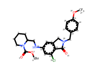 CC(C)(C)OC(=O)N1CCCCC1CNc1cc(Cl)c2c(c1)CN(Cc1ccc(OC(F)(F)F)cc1)C2=O